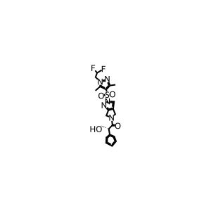 Cc1nn(CC(F)F)c(C)c1S(=O)(=O)n1cc2c(n1)CN(C(=O)[C@@H](CO)c1ccccc1)C2